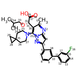 Cc1nc2cc(-c3cccc(-c4cccc(F)c4)c3)nn2c(N2CCC3(CC2)CC3)c1[C@H](OCC(C)C)C(=O)O